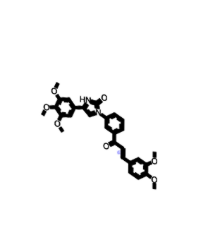 COc1ccc(/C=C/C(=O)c2cccc(-n3cc(-c4cc(OC)c(OC)c(OC)c4)[nH]c3=O)c2)cc1OC